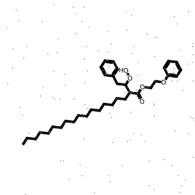 CCCCCCCCCCCCCCCCCC(C(=O)OCCOc1ccccc1)C(Cc1ccccc1)OO